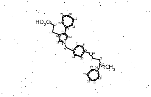 CN(CCOc1ccc(Cn2cc(CCC(=O)O)c(-c3ccccc3)c2)cc1)c1ccccn1